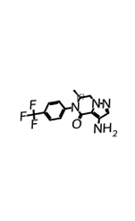 C[C@H]1Cn2ncc(N)c2C(=O)N1c1ccc(C(F)(F)F)cc1